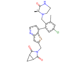 Cc1cc(Cl)cc(-c2ccnc3cc(CN4C(=O)C5CC5C4=O)sc23)c1CN1CCNC(=O)[C@@H]1C